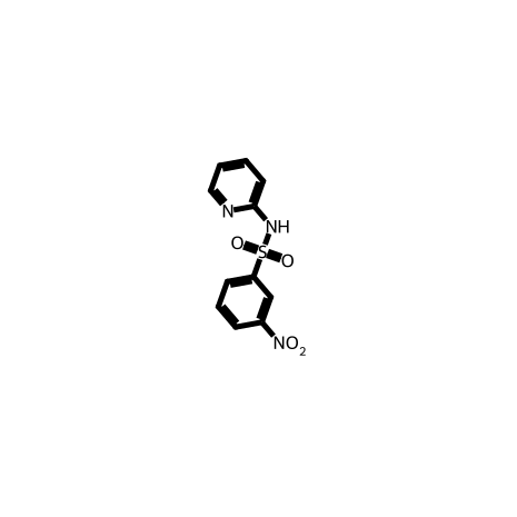 O=[N+]([O-])c1cccc(S(=O)(=O)Nc2ccccn2)c1